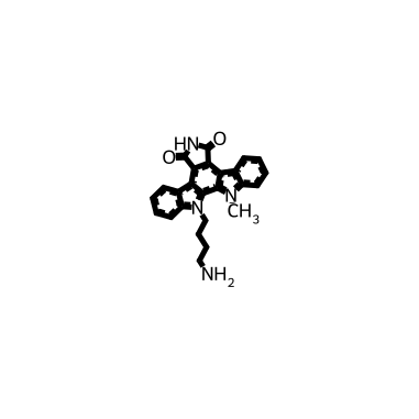 Cn1c2ccccc2c2c3c(c4c5ccccc5n(CCCCN)c4c21)C(=O)NC3=O